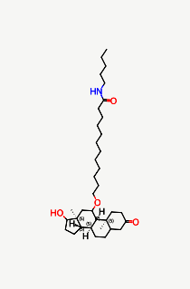 CCCCCNC(=O)CCCCCCCCCCCOC1C[C@]2(C)C(O)CC[C@H]2[C@@H]2CCC3CC(=O)CC[C@]3(C)[C@H]12